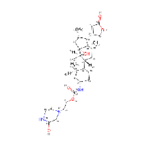 CC(=O)O[C@H]1C[C@]2(O)[C@@H]3CC[C@@H]4C[C@@H](NC(=O)OCCN5CCNC(=O)C5)CC[C@]4(C)[C@H]3CC[C@]2(C)[C@H]1C1=CC(=O)OC1